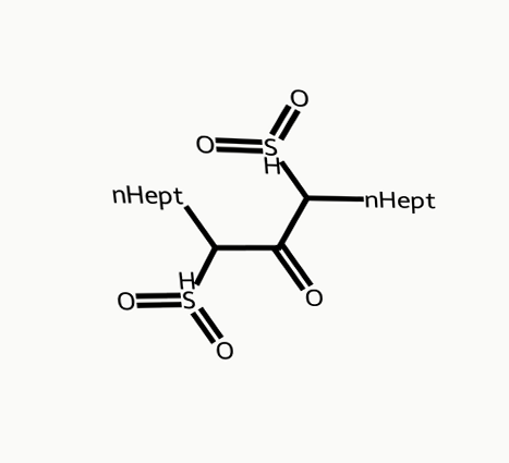 CCCCCCCC(C(=O)C(CCCCCCC)[SH](=O)=O)[SH](=O)=O